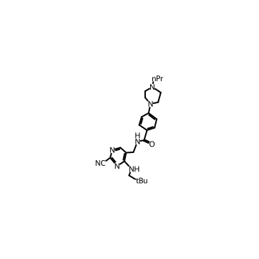 CCCN1CCN(c2ccc(C(=O)NCc3cnc(C#N)nc3NCC(C)(C)C)cc2)CC1